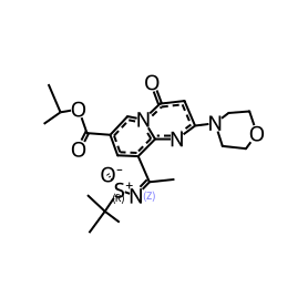 C/C(=N/[S@@+]([O-])C(C)(C)C)c1cc(C(=O)OC(C)C)cn2c(=O)cc(N3CCOCC3)nc12